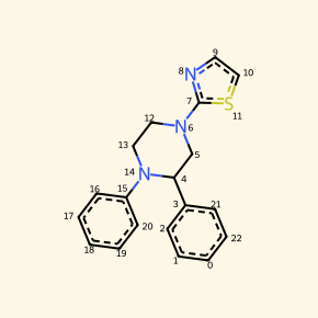 c1ccc(C2CN(c3nccs3)CCN2c2ccccc2)cc1